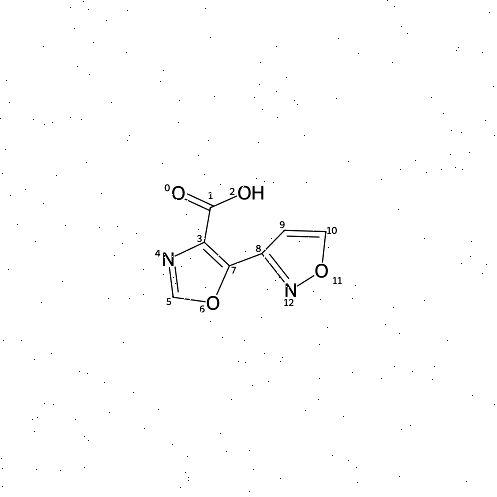 O=C(O)c1ncoc1-c1ccon1